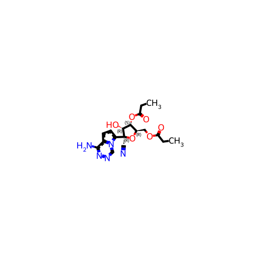 CCC(=O)OC[C@H]1O[C@@](C#N)(c2ccc3c(N)nncn23)[C@H](O)[C@@H]1OC(=O)CC